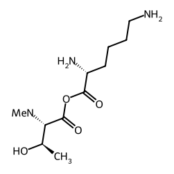 CN[C@H](C(=O)OC(=O)[C@H](N)CCCCN)[C@@H](C)O